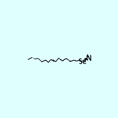 CCCCCCCCCCCCCCCC[Se]C#N